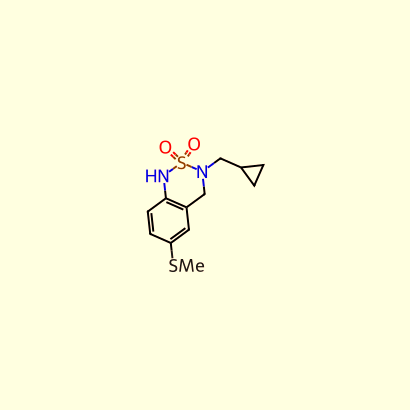 CSc1ccc2c(c1)CN(CC1CC1)S(=O)(=O)N2